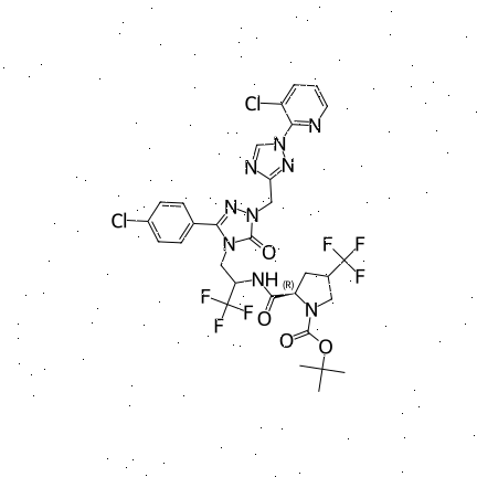 CC(C)(C)OC(=O)N1CC(C(F)(F)F)C[C@@H]1C(=O)NC(Cn1c(-c2ccc(Cl)cc2)nn(Cc2ncn(-c3ncccc3Cl)n2)c1=O)C(F)(F)F